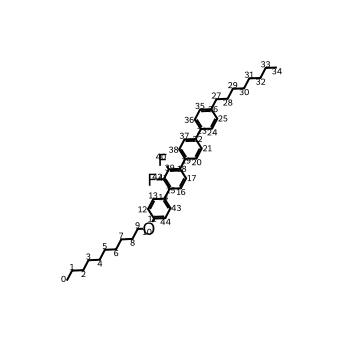 CCCCCCCCCCOc1ccc(-c2ccc(-c3ccc(-c4ccc(CCCCCCCC)cc4)cc3)c(F)c2F)cc1